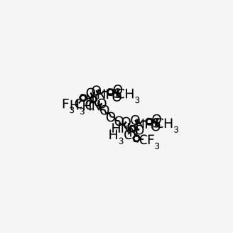 Cc1c(NC(=O)COCCOCCOCC(=O)Nc2cc(C(=O)NCc3ccc(S(C)(=O)=O)cc3)c(=O)n(-c3cccc(C(F)(F)F)c3)c2C)cc(C(=O)NCc2ccc(S(C)(=O)=O)cc2)c(=O)n1-c1cccc(C(F)(F)F)c1